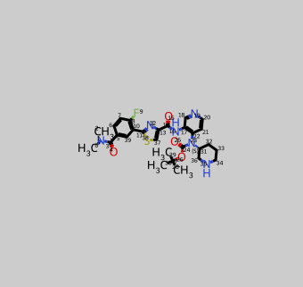 CN(C)C(=O)c1ccc(F)c(-c2nc(C(=O)Nc3cnccc3N(C(=O)OC(C)(C)C)[C@H]3CCCNC3)cs2)c1